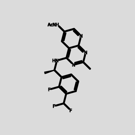 CC(=O)Nc1cnc2nc(C)nc(N[C@H](C)c3cccc(C(F)F)c3F)c2c1